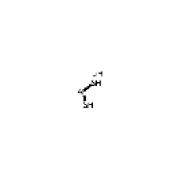 [LiH].[SH][Al][SH]